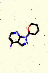 IC1=CC=NC2C1C=NN2C1CCCCO1